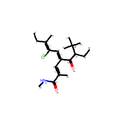 CC/C(C)=C(Cl)/C=C(\C=C(/C)C(=O)NC)C(=O)C(CC)C(C)(C)C